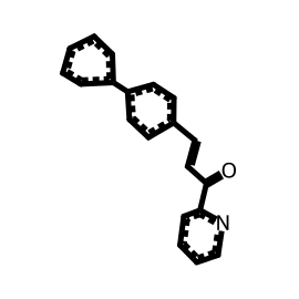 O=C(/C=C/c1ccc(-c2ccccc2)cc1)c1ccccn1